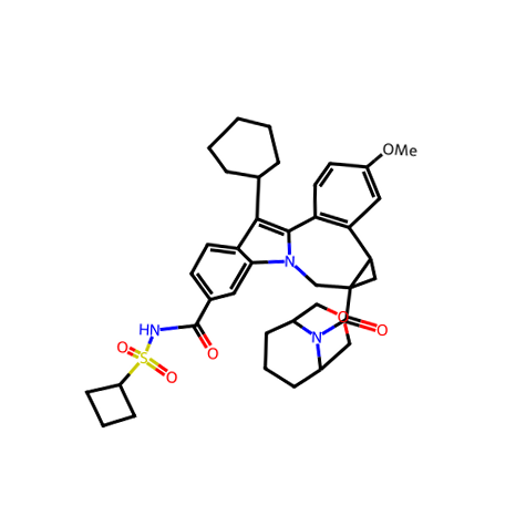 COc1ccc2c(c1)C1CC1(C(=O)N1C3CCCC1COC3)Cn1c-2c(C2CCCCC2)c2ccc(C(=O)NS(=O)(=O)C3CCC3)cc21